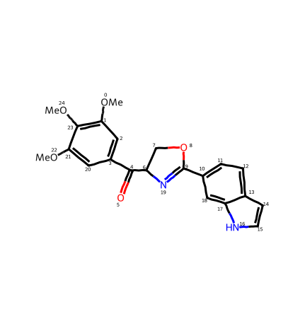 COc1cc(C(=O)C2COC(c3ccc4cc[nH]c4c3)=N2)cc(OC)c1OC